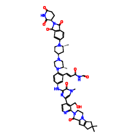 C[C@@H]1CC(N2CCN(c3ccc(Nc4nc(-c5ccnc(N6CCn7c(cc8c7CC(C)(C)C8)C6=O)c5CO)cn(C)c4=O)cc3C=CC(=O)NC=O)[C@@H](C)C2)CCN1c1ccc2c(c1)C(=O)N(C1CCC(=O)NC1=O)C2=O